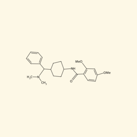 COc1ccc(C(=O)NC2CCC(C(c3ccccc3)N(C)C)CC2)c(OC)c1